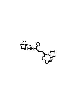 O=C[C@@H]1CCCN1C(=O)CCC(=O)NCc1ccco1